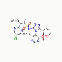 COc1ncnc(O)c1-n1c(NS(=O)(=O)C(C)C(OC)c2ncc(Cl)cn2)nnc1C1C=CCOC1